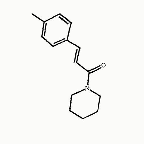 Cc1ccc(C=CC(=O)N2CC[CH]CC2)cc1